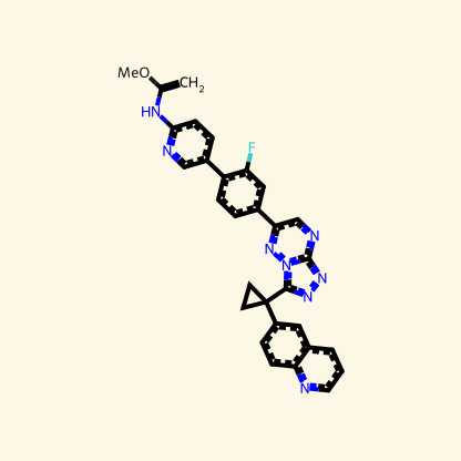 C=C(Nc1ccc(-c2ccc(-c3cnc4nnc(C5(c6ccc7ncccc7c6)CC5)n4n3)cc2F)cn1)OC